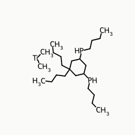 CCCCPC1CC(PCCCC)CC(CCCC)(CCCC)C1.[CH3][Ti][CH3]